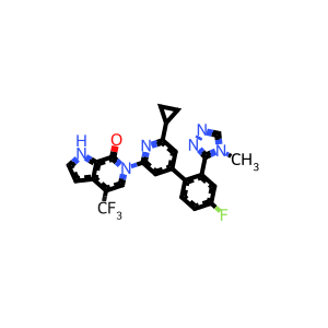 Cn1cnnc1-c1cc(F)ccc1-c1cc(C2CC2)nc(-n2cc(C(F)(F)F)c3cc[nH]c3c2=O)c1